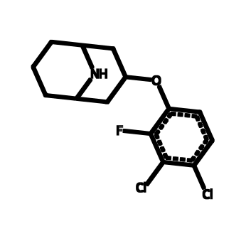 Fc1c(OC2CC3CCCC(C2)N3)ccc(Cl)c1Cl